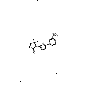 CC1(C)COC(=O)N1c1nc(-c2cccc([N+](=O)[O-])c2)cs1